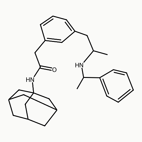 CC(Cc1cccc(CC(=O)NC23CC4CC(CC(C4)C2)C3)c1)NC(C)c1ccccc1